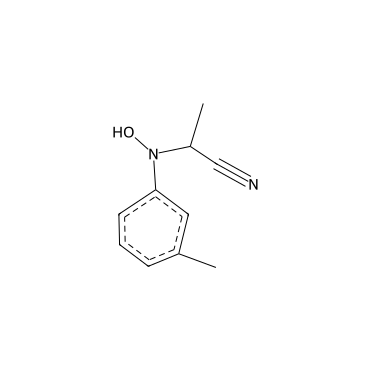 Cc1cccc(N(O)C(C)C#N)c1